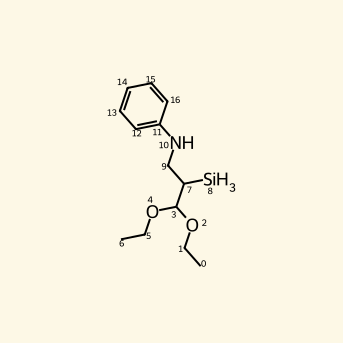 CCOC(OCC)C([SiH3])CNc1ccccc1